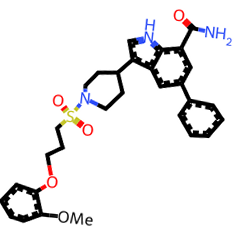 COc1ccccc1OCCCS(=O)(=O)N1CCC(c2c[nH]c3c(C(N)=O)cc(-c4ccccc4)cc23)CC1